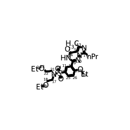 CCCc1nc(C)c2c(=O)[nH]c(-c3cc(S(=O)(=O)N(CCOCC)CCOCC)ccc3OCC)nn12